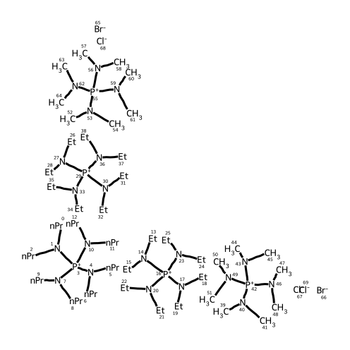 CCCN(CCC)[P+](N(CCC)CCC)(N(CCC)CCC)N(CCC)CCC.CCN(CC)[P+](N(CC)CC)(N(CC)CC)N(CC)CC.CCN(CC)[P+](N(CC)CC)(N(CC)CC)N(CC)CC.CN(C)[P+](N(C)C)(N(C)C)N(C)C.CN(C)[P+](N(C)C)(N(C)C)N(C)C.[Br-].[Br-].[Cl-].[Cl-].[Cl-]